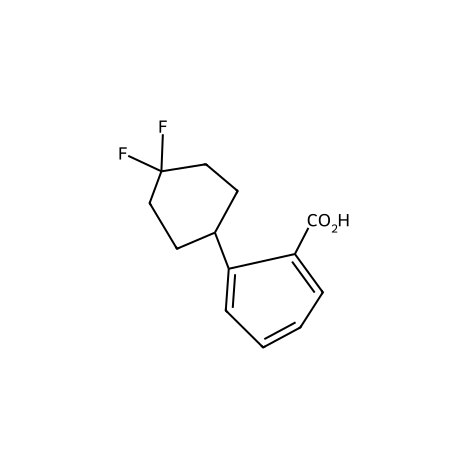 O=C(O)c1ccccc1C1CCC(F)(F)CC1